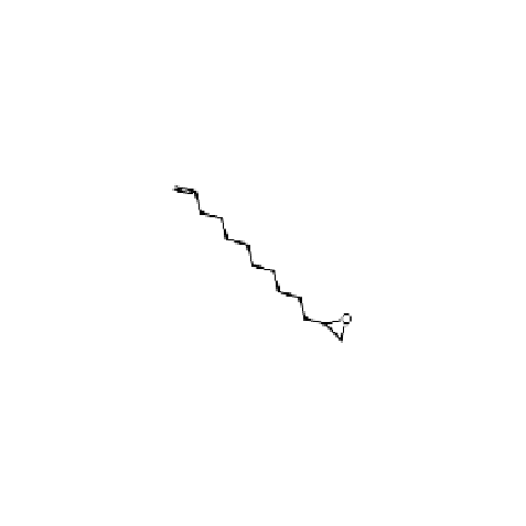 C=CCCCCCCCCCC1CO1